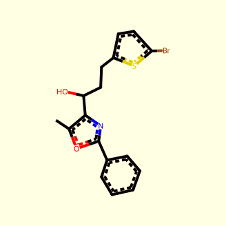 Cc1oc(-c2ccccc2)nc1C(O)CCc1ccc(Br)s1